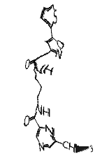 Cc1cncc(C(=O)NCCCNC(=O)c2cc(-c3cccs3)on2)n1